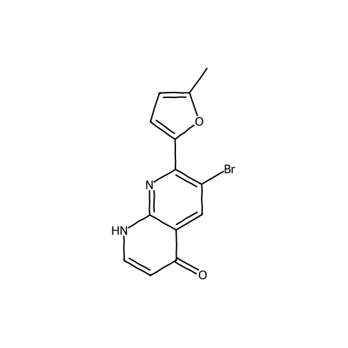 Cc1ccc(-c2nc3[nH]ccc(=O)c3cc2Br)o1